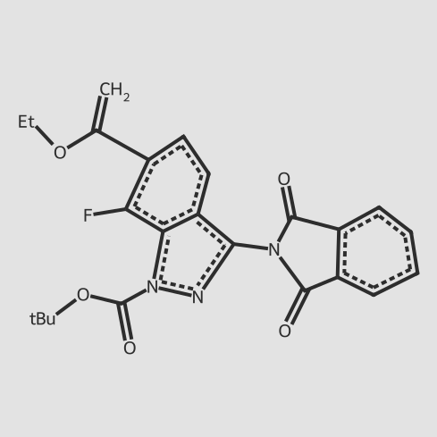 C=C(OCC)c1ccc2c(N3C(=O)c4ccccc4C3=O)nn(C(=O)OC(C)(C)C)c2c1F